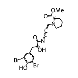 COC(=O)[C@@H]1CCCCN1C=C=C=NC(=O)[C@H](O)Cc1cc(Br)c(O)c(Br)c1